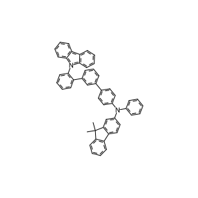 CC1(C)c2ccccc2-c2ccc(N(c3ccccc3)c3ccc(-c4cccc(-c5ccccc5-n5c6ccccc6c6ccccc65)c4)cc3)cc21